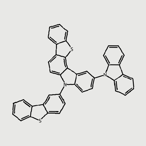 c1ccc2c(c1)sc1ccc(-n3c4ccc(-n5c6ccccc6c6ccccc65)cc4c4c5sc6ccccc6c5ccc43)cc12